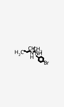 C=C/C=C(\C)NC(=C)NCc1ccc(Br)cc1